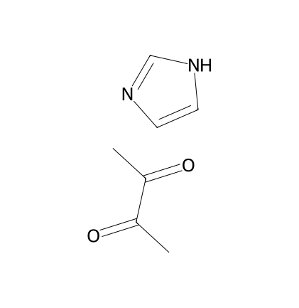 CC(=O)C(C)=O.c1c[nH]cn1